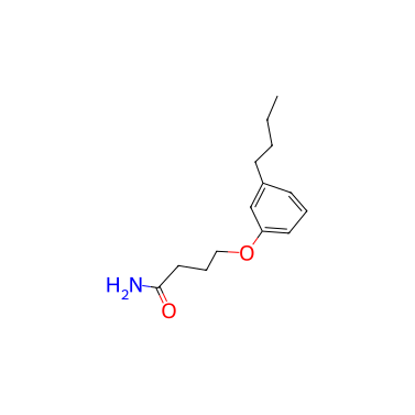 CCCCc1cccc(OCCCC(N)=O)c1